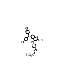 CCOC(=O)CCC(=O)N1CCC(Nc2cc(O)nc3ccc(C(c4ccc(Cl)cc4)c4ccc(Cl)cc4)cc23)CC1